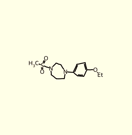 CCOc1ccc(N2CCCN(S(C)(=O)=O)CC2)cc1